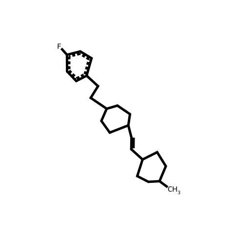 CC1CCC(C=CC2CCC(CCc3ccc(F)cc3)CC2)CC1